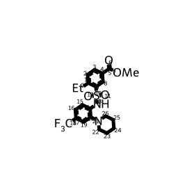 CCc1ccc(C(=O)OC)cc1S(=O)(=O)Nc1ccc(C(F)(F)F)cc1N1CCCCC1